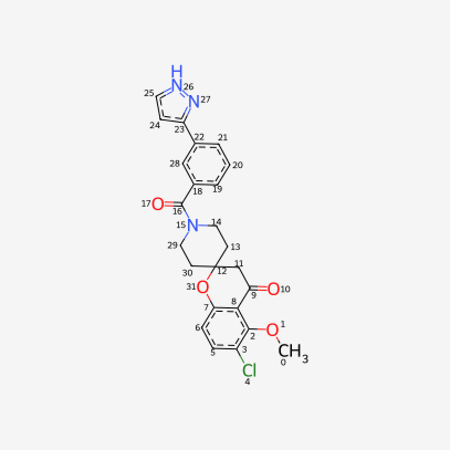 COc1c(Cl)ccc2c1C(=O)CC1(CCN(C(=O)c3cccc(-c4cc[nH]n4)c3)CC1)O2